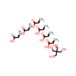 C=CC(=O)O.C=CC(=O)O.C=CC(=O)O.C=CC(=O)O.C=CC(=O)O.C=CC(=O)O.OCC(CO)(CO)CO